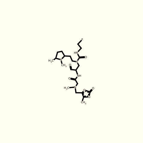 Cc1oc(=O)oc1CN(C)CC(=O)NC(C=O)CN(CCC1CCC(C)N1C)C(=O)NCCF